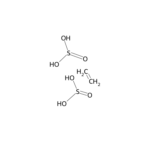 C=C.O=S(O)O.O=S(O)O